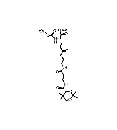 COC(=O)[C@H](CCC(=O)SCCNC(=O)CCNC(=O)[C@@H]1OC(C)(C)OCC1(C)C)NC(=O)OC(C)(C)C